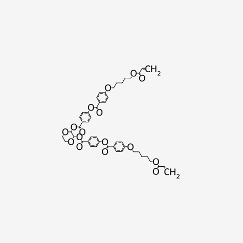 C=CC(=O)OCCCCCOc1ccc(C(=O)Oc2ccc(C(=O)OC3OCCOC3OC(=O)c3ccc(OC(=O)c4ccc(OCCCCCOC(=O)C=C)cc4)cc3)cc2)cc1